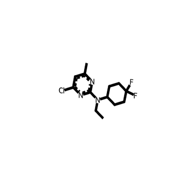 CCN(c1nc(C)cc(Cl)n1)C1CCC(F)(F)CC1